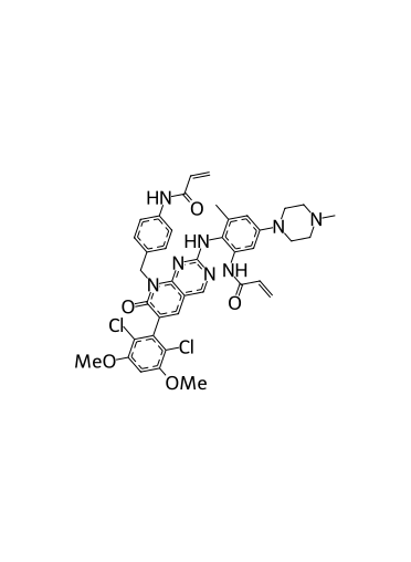 C=CC(=O)Nc1ccc(Cn2c(=O)c(-c3c(Cl)c(OC)cc(OC)c3Cl)cc3cnc(Nc4c(C)cc(N5CCN(C)CC5)cc4NC(=O)C=C)nc32)cc1